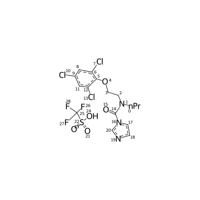 CCCN(CCOc1c(Cl)cc(Cl)cc1Cl)C(=O)n1ccnc1.O=S(=O)(O)C(F)(F)F